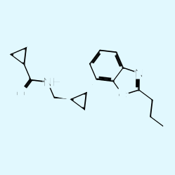 CCCc1nc2cccc([C@@H]3C[C@H]3CNC(=O)C3CC3)c2o1